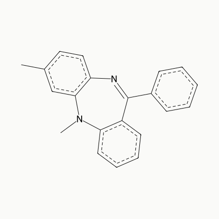 Cc1ccc2c(c1)N(C)c1ccccc1C(c1ccccc1)=N2